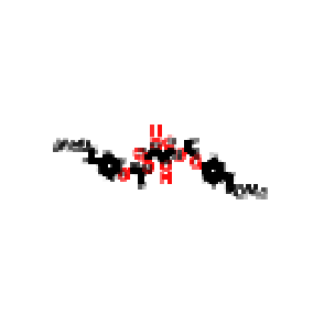 COCCc1ccc(OCC(C)OC(=O)C(O)C(O)C(=O)OC(C)COc2ccc(CCOC)cc2)cc1